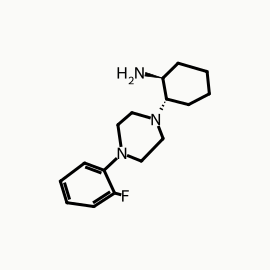 N[C@H]1CCCC[C@@H]1N1CCN(c2ccccc2F)CC1